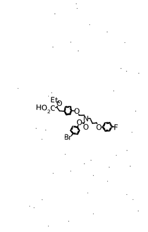 CCOC(Cc1ccc(OCCN(CCCOc2ccc(F)cc2)C(=O)Oc2ccc(Br)cc2)cc1)C(=O)O